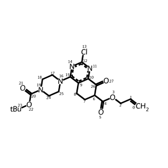 C=CCOC(=O)C1CCc2c(nc(Cl)nc2N2CCN(C(=O)OC(C)(C)C)CC2)C1=O